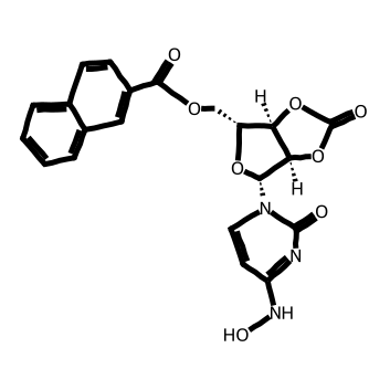 O=C1O[C@@H]2[C@H](O1)[C@@H](COC(=O)c1ccc3ccccc3c1)O[C@H]2n1ccc(NO)nc1=O